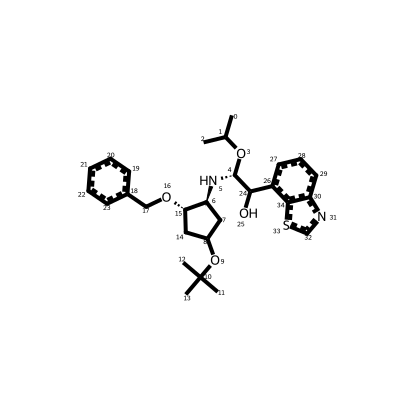 CC(C)O[C@@H](N[C@H]1CC(OC(C)(C)C)C[C@@H]1OCc1ccccc1)C(O)c1cccc2ncsc12